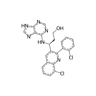 OCC[C@H](Nc1ncnc2[nH]cnc12)c1cc2cccc(Cl)c2nc1-c1ccccc1Cl